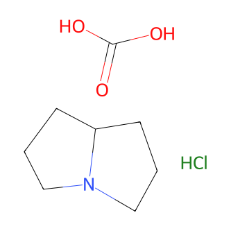 C1CC2CCCN2C1.Cl.O=C(O)O